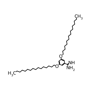 CCCCCCCCCCCCCCCCOc1cc(OCCCCCCCCCCCCCCCC)cc(C(=N)N)c1